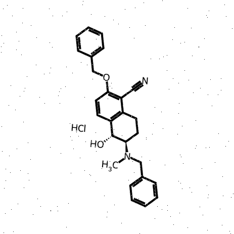 CN(Cc1ccccc1)[C@@H]1CCc2c(ccc(OCc3ccccc3)c2C#N)[C@H]1O.Cl